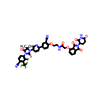 CC1(C)C(=O)N(c2ccc(C#N)c(C(F)(F)F)c2F)C(=S)N1c1ccc(-c2ccc(OCCNC(=O)COc3cccc4c3C(=O)N(C3CCC(=O)NC3=O)C4=O)c(C#N)c2)nc1